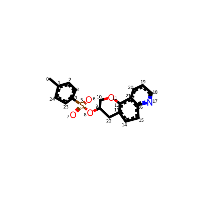 Cc1ccc(S(=O)(=O)OC2COc3c(ccc4ncccc34)C2)cc1